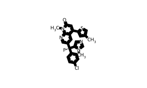 Cc1csc(-c2cc(=O)n(C)c3ncc([C@](F)(c4ccc(Cl)cc4)c4cncn4C)cc23)c1